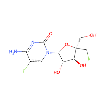 Nc1nc(=O)n([C@@H]2O[C@@](CO)(CF)[C@@H](O)[C@@H]2O)cc1F